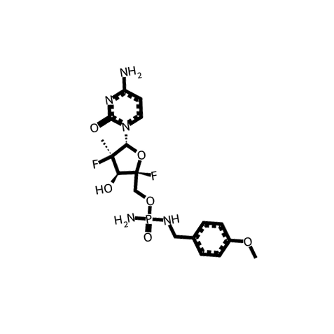 COc1ccc(CNP(N)(=O)OC[C@@]2(F)O[C@@H](n3ccc(N)nc3=O)[C@](C)(F)[C@@H]2O)cc1